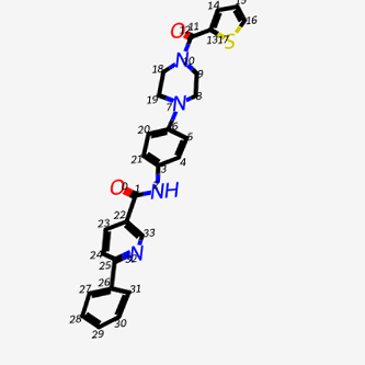 O=C(Nc1ccc(N2CCN(C(=O)c3cccs3)CC2)cc1)c1ccc(-c2ccccc2)nc1